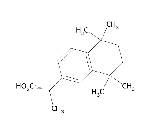 C[C@H](C(=O)O)c1ccc2c(c1)C(C)(C)CCC2(C)C